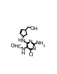 Nc1nc(Cl)c(NC=O)c(N[C@@H]2C=CC(CO)C2)n1